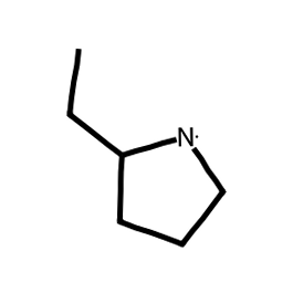 CCC1CCC[N]1